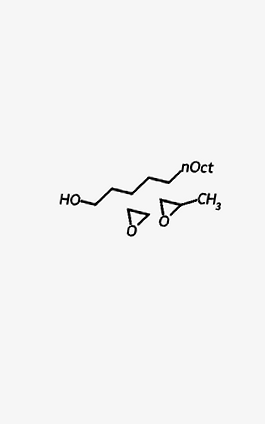 C1CO1.CC1CO1.CCCCCCCCCCCCCO